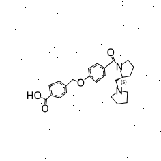 O=C(O)c1ccc(COc2ccc(C(=O)N3CCC[C@H]3CN3CCCC3)cc2)cc1